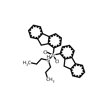 CCC[SiH](CCC)[Zr]([Cl])([Cl])([c]1cccc2c1Cc1ccccc1-2)[c]1cccc2c1Cc1ccccc1-2